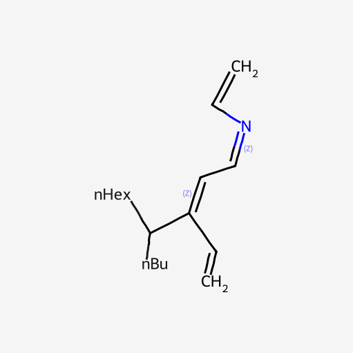 C=C/N=C\C=C(/C=C)C(CCCC)CCCCCC